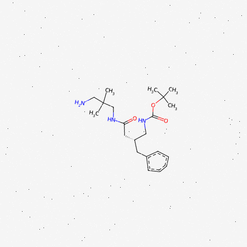 CC(C)(CN)CNC(=O)C[C@H](CNC(=O)OC(C)(C)C)Cc1ccccc1